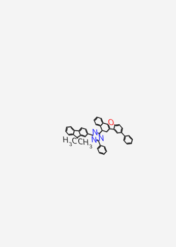 CC1(C)c2ccccc2-c2ccc(-c3nc(-c4ccccc4)nc(C4Cc5c(oc6ccc(-c7ccccc7)cc56)-c5ccccc54)n3)cc21